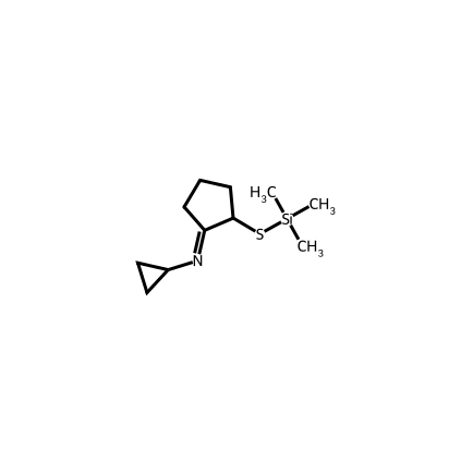 C[Si](C)(C)SC1CCCC1=NC1CC1